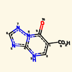 O=C(O)c1c[nH]c2ncnn2c1=O